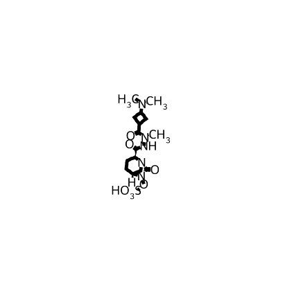 CN(NC(=O)[C@@H]1CC[C@@H]2CN1C(=O)N2OS(=O)(=O)O)C(=O)C1CC(N(C)C)C1